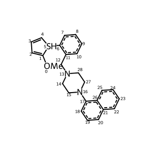 COC1=CC=C[SH]1c1ccccc1CN1CCN(c2cccc3ccccc23)CC1